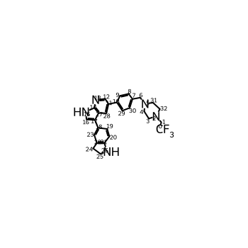 FC(F)(F)CN1CCN(Cc2ccc(-c3cnc4[nH]cc(-c5ccc6c(c5)CCN6)c4c3)cc2)CC1